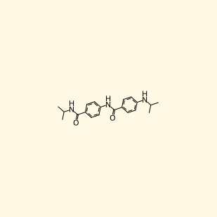 CC(C)NC(=O)c1ccc(NC(=O)c2ccc(NC(C)C)cc2)cc1